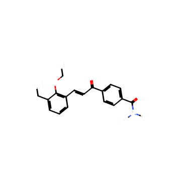 CCOc1c(C=CC(=O)c2ccc(C(=O)N(C)C)cc2)cccc1CC